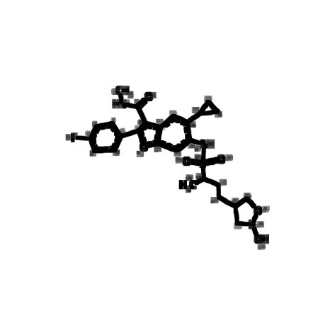 CNC(=O)c1c(-c2ccc(F)cc2)oc2cc(NS(=O)(=O)C(C)CCC3COB(O)C3)c(C3CC3)cc12